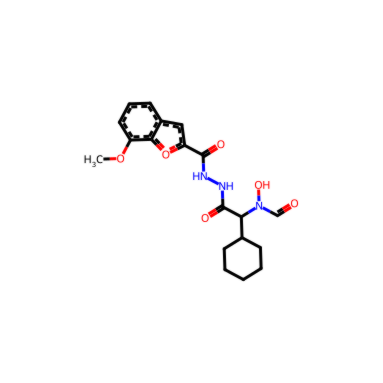 COc1cccc2cc(C(=O)NNC(=O)C(C3CCCCC3)N(O)C=O)oc12